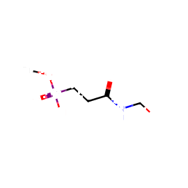 CCOP(=O)(O)CCC(=O)NCO